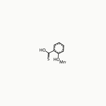 OC(=S)c1ccccc1O.[Mn]